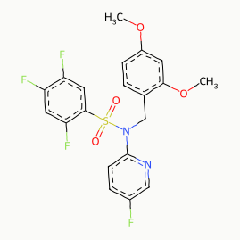 COc1ccc(CN(c2ccc(F)cn2)S(=O)(=O)c2cc(F)c(F)cc2F)c(OC)c1